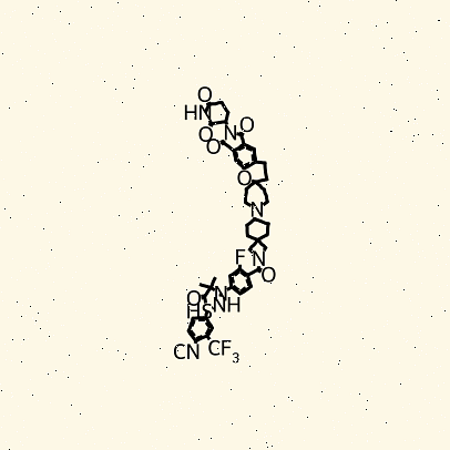 CC1(C)C(=O)[SH](c2ccc(C#N)c(C(F)(F)F)c2)NN1c1ccc(C(=O)N2CC3(CCC(N4CCC5(CCc6cc7c(cc6O5)C(=O)N(C5CCC(=O)NC5=O)C7=O)CC4)CC3)C2)c(F)c1